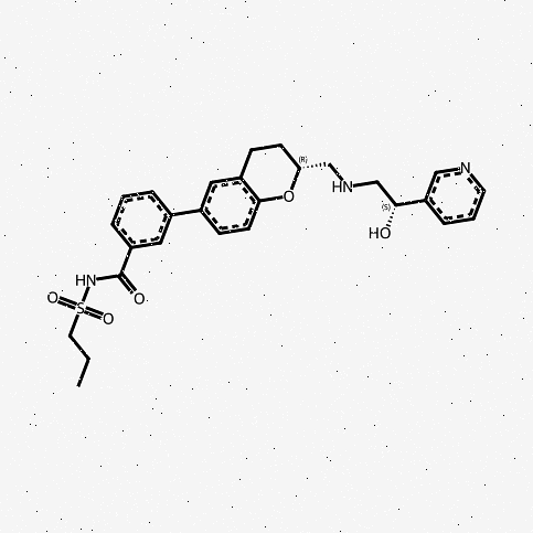 CCCS(=O)(=O)NC(=O)c1cccc(-c2ccc3c(c2)CC[C@H](CNC[C@@H](O)c2cccnc2)O3)c1